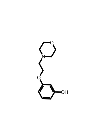 Oc1cccc(OCCN2CCOCC2)c1